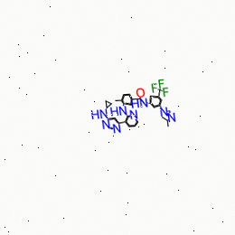 Cc1ccc(C(=O)Nc2cc(N3C=NC(C)C3)cc(C(F)(F)F)c2)cc1Nc1ncccc1-c1cc(NC2CC2)ncn1